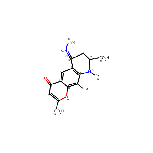 CCCc1c2c(cc3c(=O)cc(C(=O)O)oc13)/C(=N/OC)CC(C(=O)O)N2CC